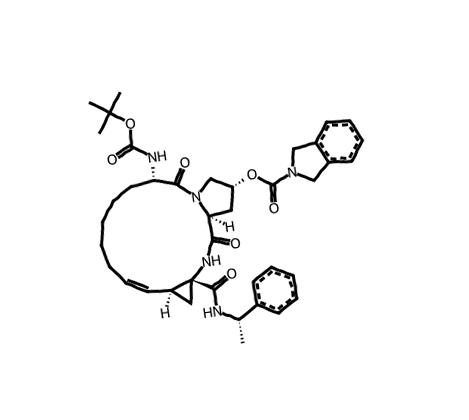 C[C@H](NC(=O)[C@@]12C[C@H]1/C=C\CCCCC[C@H](NC(=O)OC(C)(C)C)C(=O)N1C[C@H](OC(=O)N3Cc4ccccc4C3)C[C@H]1C(=O)N2)c1ccccc1